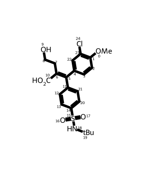 COc1ccc(C(=C(CCO)C(=O)O)c2ccc(S(=O)(=O)NC(C)(C)C)cc2)cc1Cl